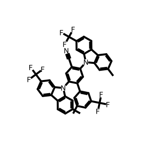 Cc1cc(-c2cc(-n3c4cc(C)ccc4c4ccc(C(F)(F)F)cc43)c(C#N)cc2-n2c3cc(C)ccc3c3ccc(C(F)(F)F)cc32)cc(C(F)(F)F)c1